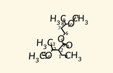 CCC(C(=O)OCCC(C)OC)C(C)OC